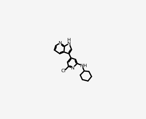 Clc1cc(-c2c[nH]c3ncccc23)cc(NC2CCCCC2)n1